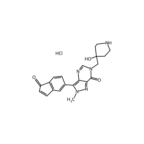 Cl.Cn1nc2c(=O)n(CC3(O)CCNCC3)cnc2c1-c1ccc2c(c1)C=CC2=O